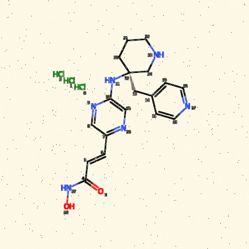 Cl.Cl.Cl.O=C(/C=C/c1cnc(N[C@@]2(Cc3ccncc3)CCCNC2)cn1)NO